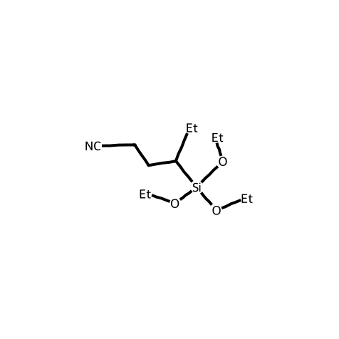 CCO[Si](OCC)(OCC)C(CC)CCC#N